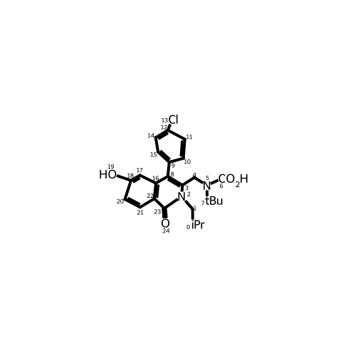 CC(C)Cn1c(CN(C(=O)O)C(C)(C)C)c(-c2ccc(Cl)cc2)c2cc(O)ccc2c1=O